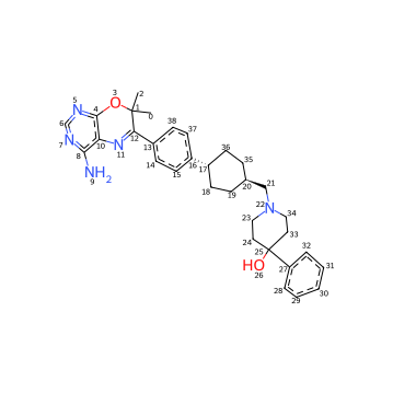 CC1(C)Oc2ncnc(N)c2N=C1c1ccc([C@H]2CC[C@H](CN3CCC(O)(c4ccccc4)CC3)CC2)cc1